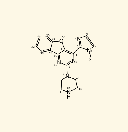 Cn1ccnc1-c1nc(N2CCNCC2)nc2c1oc1ccccc12